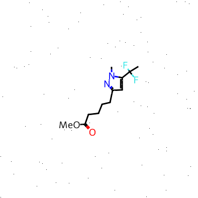 COC(=O)CCCCc1cc(C(C)(F)F)n(C)n1